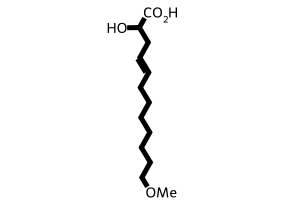 COCCCCCCCC=CCC(O)C(=O)O